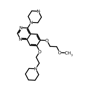 COCCOc1cc2c(N3CC[N]CC3)ncnc2cc1OCCN1CCCCC1